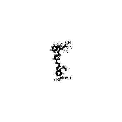 CCCCN(CCCC)c1ccc2cc(/C=C/c3ccc(/C=C/C4=C(C#N)C(=C(C#N)C#N)OC4(c4ccccc4)C(F)(F)F)s3)n(CC(C)C)c2c1